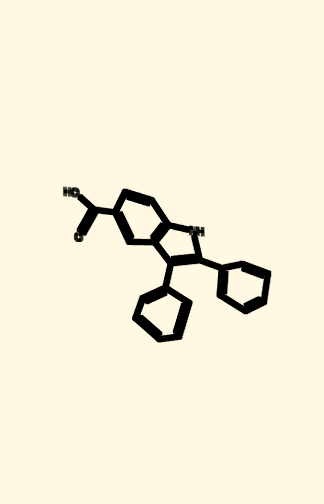 O=C(O)c1ccc2[nH]c(-c3ccccc3)c(-c3ccccc3)c2c1